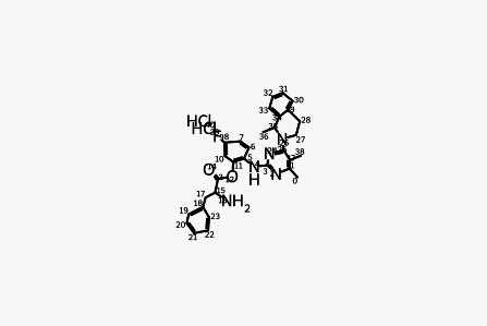 Cc1nc(Nc2ccc(F)cc2OC(=O)C(N)Cc2ccccc2)nc(N2CCc3ccccc3C2C)c1C.Cl.Cl